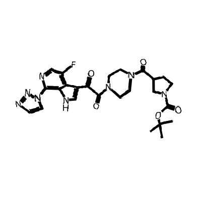 CC(C)(C)OC(=O)N1CCC(C(=O)N2CCN(C(=O)C(=O)c3c[nH]c4c(-n5ccnn5)ncc(F)c34)CC2)C1